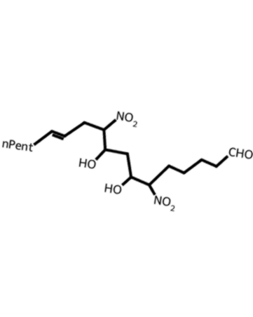 CCCCCC=CCC(C(O)CC(O)C(CCCCC=O)[N+](=O)[O-])[N+](=O)[O-]